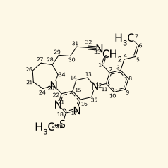 C=Cc1c(C/C=C\C)cccc1N1CCc2c(nc(SC)nc2N2CCCCC(CCCC#N)C2)C1